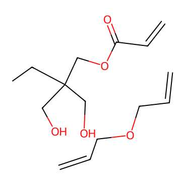 C=CC(=O)OCC(CC)(CO)CO.C=CCOCC=C